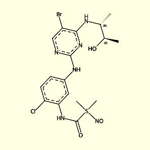 C[C@@H](O)[C@@H](C)Nc1nc(Nc2ccc(Cl)c(NC(=O)S(C)(C)N=O)c2)ncc1Br